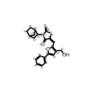 O=C1/C(=C\c2oc(-c3ccccc3)cc2CO)SC(=S)N1C1CC2CCC1C2